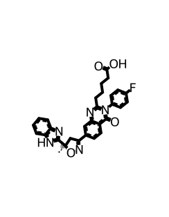 C[C@]1(c2nc3ccccc3[nH]2)CC(c2ccc3c(=O)n(-c4ccc(F)cc4)c(CCCCC(=O)O)nc3c2)=NO1